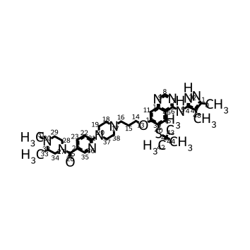 Cc1n[nH]c(Nc2ncnc3cc(OCCCN4CCN(c5ccc(C(=O)N6CCN(C)[C@H](C)C6)cn5)CC4)c(SC(C)(C)C)cc23)c1C